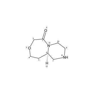 O=C1COCC[C@@H]2CNCCN12